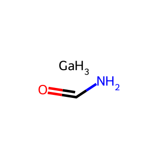 NC=O.[GaH3]